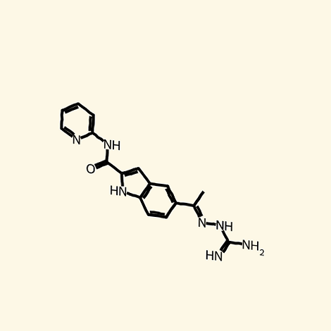 C/C(=N\NC(=N)N)c1ccc2[nH]c(C(=O)Nc3ccccn3)cc2c1